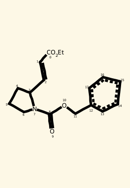 CCOC(=O)/C=C/C1CCCN1C(=O)OCc1ccccc1